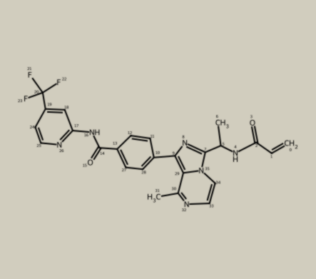 C=CC(=O)NC(C)c1nc(-c2ccc(C(=O)Nc3cc(C(F)(F)F)ccn3)cc2)c2c(C)nccn12